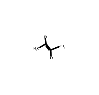 CCC(C)=C(C)CC